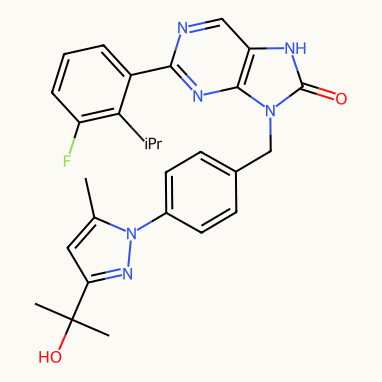 Cc1cc(C(C)(C)O)nn1-c1ccc(Cn2c(=O)[nH]c3cnc(-c4cccc(F)c4C(C)C)nc32)cc1